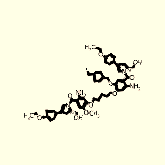 CCOc1ccc(C2=CN(C(=O)c3cc(OC)c(OCCCCCOc4cc(N)c(C(=O)N5C=C(c6ccc(OCC)cc6)C[C@H]5CO)cc4OCc4ccc(CI)cc4)cc3N)[C@H](CO)C2)cc1